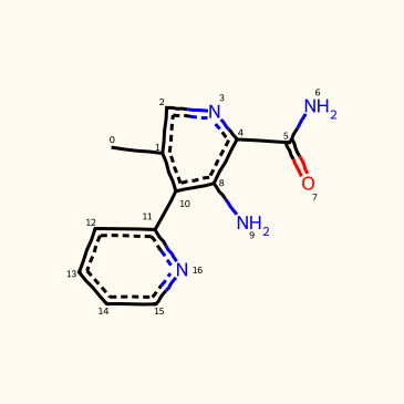 Cc1cnc(C(N)=O)c(N)c1-c1ccccn1